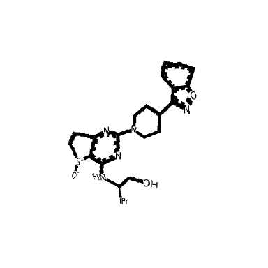 CC(C)[C@H](CO)Nc1nc(N2CCC(c3noc4ccccc34)CC2)nc2c1[S+]([O-])CC2